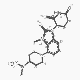 CN(C(=O)O)C1CCN(c2cccc3c2n(C)c(=O)n3C2CCC(=O)NC2=O)CC1